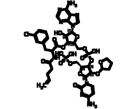 C=CCCC(=O)NC(Cc1cccc(Cl)c1)C(=O)O[C@H]1[C@@H](O)[C@H](n2cnc3c(N)ncnc32)O[C@H]1COP(=O)(O)O[C@H]1[C@@H](OC2CCCO2)[C@H](n2ccc(N)nc2=O)O[C@@H]1COP(=O)(O)O